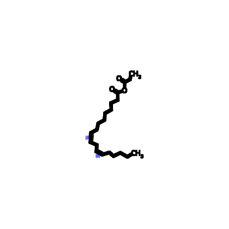 CCCCC/C=C\C/C=C\CCCCCCCC(=O)OC(=O)CC